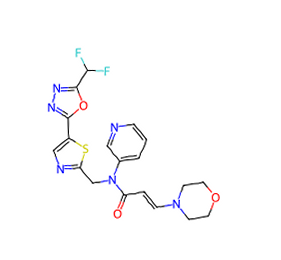 O=C(/C=C/N1CCOCC1)N(Cc1ncc(-c2nnc(C(F)F)o2)s1)c1cccnc1